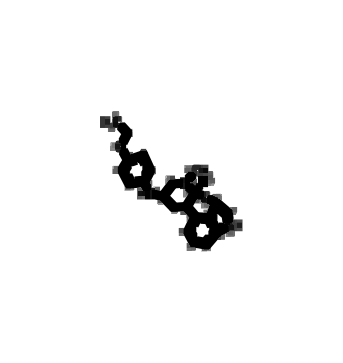 CCOc1ccc(NC2CC3c4cccc5[nH]cc(c45)C[C@H]3N(C)C2)cc1